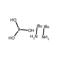 CCC(C)N.CCC(C)N.OB(O)O